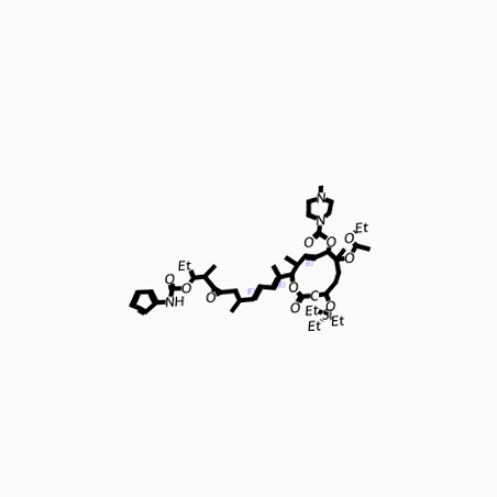 CCOC(C)OC1(C)CCC(O[Si](CC)(CC)CC)CC(=O)OC(/C(C)=C/C=C/C(C)CC2OC2C(C)C(CC)OC(=O)Nc2ccccc2)C(C)/C=C/C1OC(=O)N1CCN(C)CC1